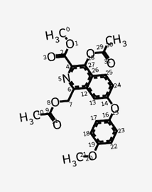 COC(=O)c1nc(COC(C)=O)c2cc(Oc3ccc(OC)cc3)ccc2c1OC(C)=O